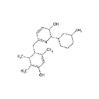 CC1=CC(O)=C(C)C(C)C1CC1=NC(C2CCCC(C)C2)C(O)C=C1